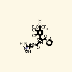 C[C@H]1CCCCN1C(=O)c1nc(C(=O)NCC(C)(C)/C(N)=N\O)sc1-c1ccc(C(O)(C(F)(F)F)C(F)(F)F)c(Cl)c1Cl